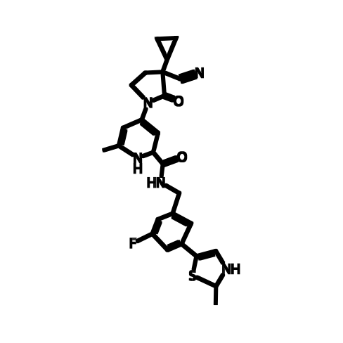 CC1=CC(N2CCC(C#N)(C3CC3)C2=O)=CC(C(=O)NCc2cc(F)cc(C3=CNC(C)S3)c2)N1